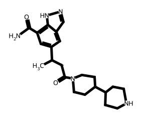 CC([CH]C(=O)N1CCC(C2CCNCC2)CC1)c1cc(C(N)=O)c2[nH]ncc2c1